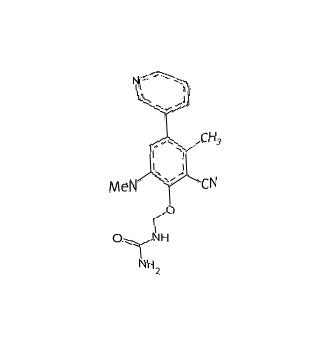 CNc1cc(-c2cccnc2)c(C)c(C#N)c1OCNC(N)=O